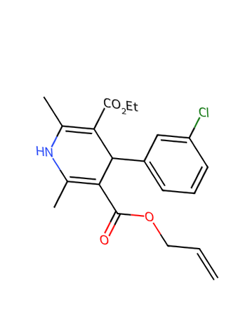 C=CCOC(=O)C1=C(C)NC(C)=C(C(=O)OCC)C1c1cccc(Cl)c1